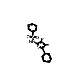 [CH2]c1c(NS(=O)(=O)c2ccccc2)sc(-c2ccccc2)c1C